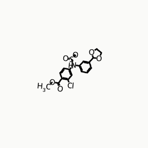 COC(=O)c1ccc(N(c2cccc(C3OCCO3)c2)[SH](=O)=O)cc1Cl